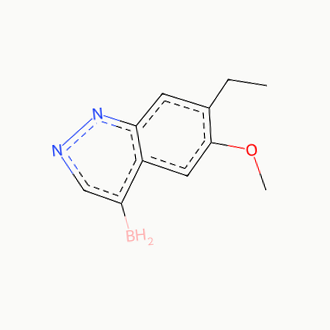 Bc1cnnc2cc(CC)c(OC)cc12